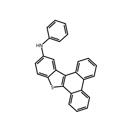 c1ccc(Nc2ccc3sc4c5ccccc5c5ccccc5c4c3c2)cc1